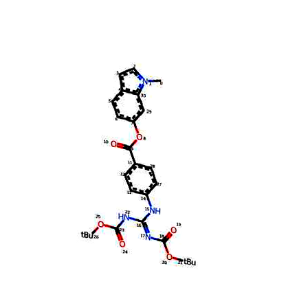 Cn1ccc2ccc(OC(=O)c3ccc(N/C(=N\C(=O)OC(C)(C)C)NC(=O)OC(C)(C)C)cc3)cc21